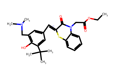 CCOC(=O)CN1C(=O)/C(=C/c2cc(CN(C)C)c(O)c(C(C)(C)C)c2)Sc2ccccc21